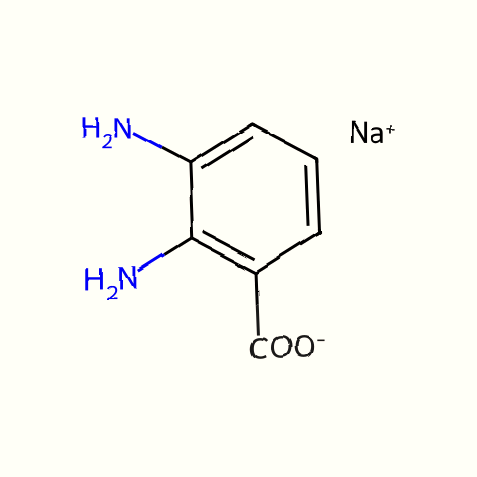 Nc1cccc(C(=O)[O-])c1N.[Na+]